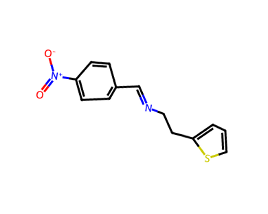 O=[N+]([O-])c1ccc(C=NCCc2cccs2)cc1